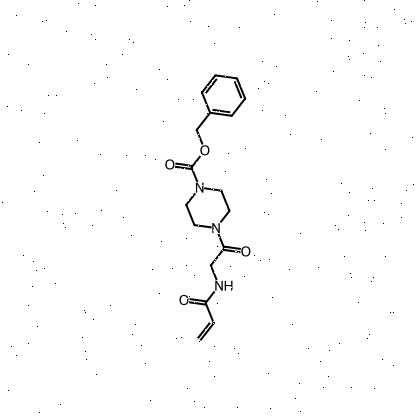 C=CC(=O)NCC(=O)N1CCN(C(=O)OCc2ccccc2)CC1